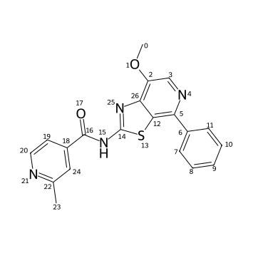 COc1cnc(-c2ccccc2)c2sc(NC(=O)c3ccnc(C)c3)nc12